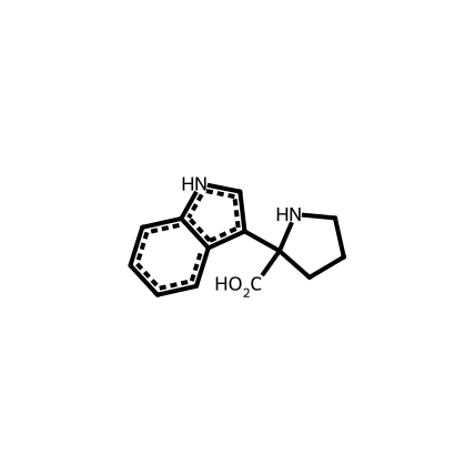 O=C(O)C1(c2c[nH]c3ccccc23)CCCN1